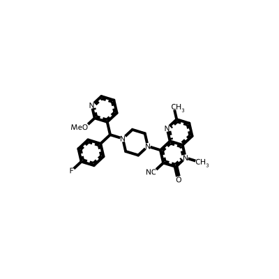 COc1ncccc1C(c1ccc(F)cc1)N1CCN(c2c(C#N)c(=O)n(C)c3ccc(C)nc23)CC1